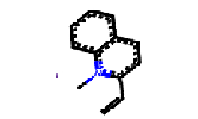 C=Cc1ccc2ccccc2[n+]1C.[I-]